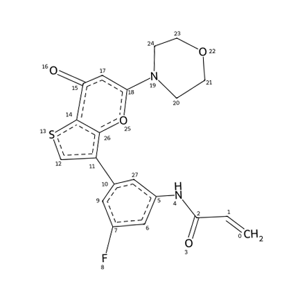 C=CC(=O)Nc1cc(F)cc(-c2csc3c(=O)cc(N4CCOCC4)oc23)c1